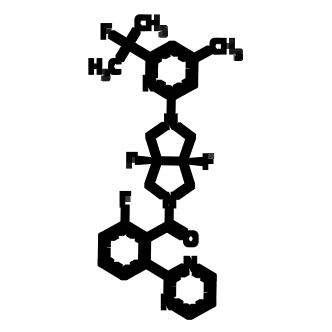 Cc1cc(N2C[C@]3(F)CN(C(=O)c4c(F)cccc4-c4ncccn4)C[C@]3(F)C2)nc(C(C)(C)F)c1